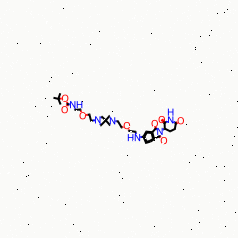 CC(C)(C)OC(=O)NCCOCCN1CC2(C1)CN(CCOCCNc1ccc3c(c1)C(=O)N(C1CCC(=O)NC1=O)C3=O)C2